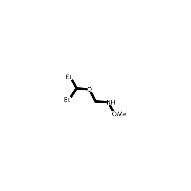 CCC(CC)OCNOC